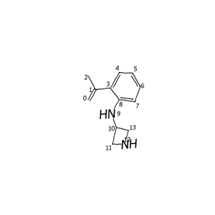 C=C(C)c1ccccc1NC1CNC1